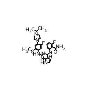 COc1cc(N2CCN(C(C)C)CC2)c(F)cc1Nc1nc(Nc2cccc(F)c2C(N)=O)c2ccnc-2[nH]1